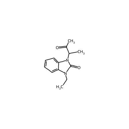 CCn1c(=O)n(C(C)C(C)=O)c2ccccc21